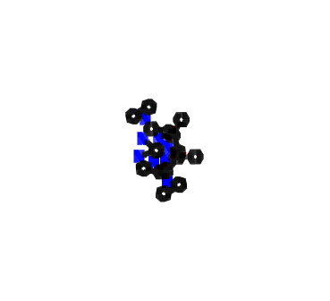 N#Cc1c(C#N)c(-n2c3ccccc3c3cc(-n4c5ccccc5c5ccccc54)ccc32)c(-n2c3ccccc3c3cc(-c4ccccc4)ccc32)c(-n2c3ccccc3c3cc(-c4ccccc4)ccc32)c1-n1c2ccccc2c2cc(-n3c4ccccc4c4ccccc43)ccc21